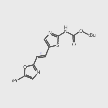 CC(C)c1cnc(/C=C/c2cnc(NC(=O)OC(C)(C)C)s2)o1